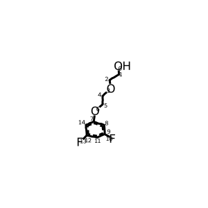 OCCOCCOc1cc(F)cc(F)c1